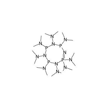 CN(C)N1P(N(C)C)N=P(N(C)C)(N(C)C)N(N(C)C)P(N(C)C)N(N(C)C)P1N(C)C